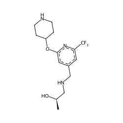 C[C@@H](O)CNCc1cc(OC2CCNCC2)nc(C(F)(F)F)c1